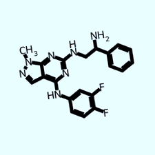 Cn1ncc2c(Nc3ccc(F)c(F)c3)nc(NCC(N)c3ccccc3)nc21